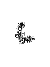 CCS(=O)(=O)c1ccc(CNC(=O)c2ccc3c(c2)CN(c2ncc(F)cn2)C[C@H]3C(C)C)cc1